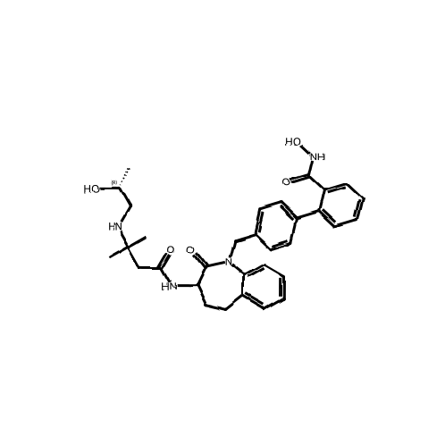 C[C@@H](O)CNC(C)(C)CC(=O)NC1CCc2ccccc2N(Cc2ccc(-c3ccccc3C(=O)NO)cc2)C1=O